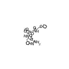 N=C(N)c1csc(C(Cc2ccccc2)NC(=O)[C@@H]2CC3(CN2C(=O)CNC(=O)CCCOc2ccccc2)OCCO3)c1